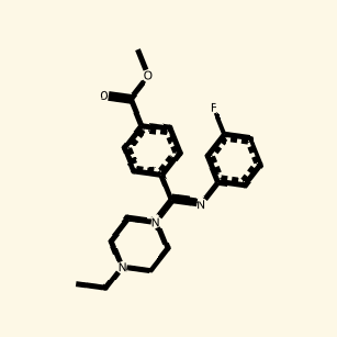 CCN1CCN(/C(=N/c2cccc(F)c2)c2ccc(C(=O)OC)cc2)CC1